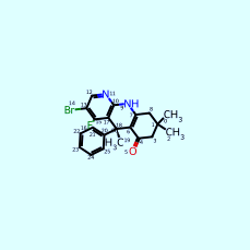 CC1(C)CC(=O)C2=C(C1)Nc1ncc(Br)c(F)c1[C@@]2(C)c1ccccc1